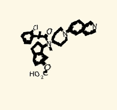 CC(C)(C(=O)[N+](C)(C1CCN(c2ccc3cnccc3c2)CC1)C1CCc2ccc(OC(=O)O)cc21)c1ccccc1Cl